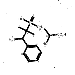 CC(C)(C(N)c1ccccc1)P(=O)(O)O.CC(O)C(=O)O